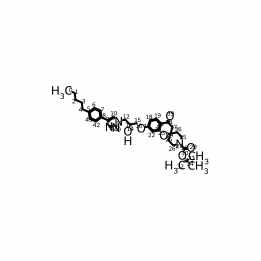 CCCCCc1ccc(-c2cn(C[C@@H](O)COc3ccc4c(c3)OC3(CCN(C(=O)OC(C)(C)C)CC3)CC4=O)nn2)cc1